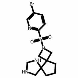 O=S(=O)(c1ccc(Br)cn1)N1CC2(CCCC23CNCN3)C1